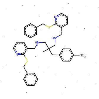 CC(CNCc1cccnc1SCc1ccccc1)(CNCc1cccnc1SCc1ccccc1)Cc1ccc([N+](=O)[O-])cc1